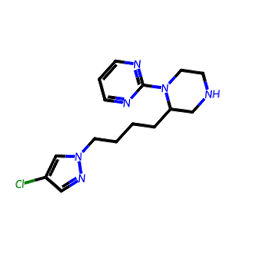 Clc1cnn(CCCCC2CNCCN2c2ncccn2)c1